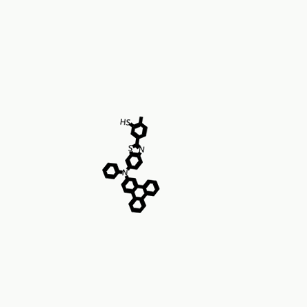 Cc1ccc(-c2nc3ccc(N(c4ccccc4)c4ccc5c6ccccc6c6ccccc6c5c4)cc3s2)cc1S